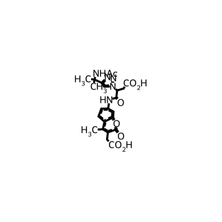 CC(=O)NC(C)(C)c1cn(C(CC(=O)O)C(=O)Nc2ccc3c(C)c(CC(=O)O)c(=O)oc3c2)nn1